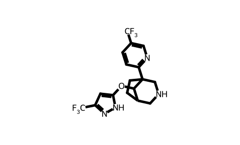 FC(F)(F)c1ccc(C23CCC(CNC2)C3Oc2cc(C(F)(F)F)n[nH]2)nc1